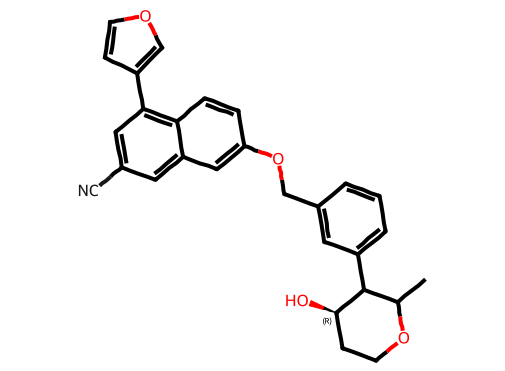 CC1OCC[C@@H](O)C1c1cccc(COc2ccc3c(-c4ccoc4)cc(C#N)cc3c2)c1